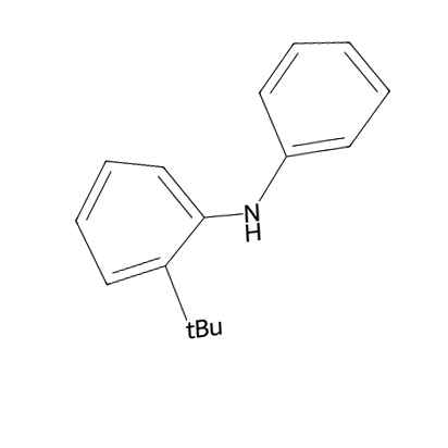 CC(C)(C)c1ccccc1Nc1ccccc1